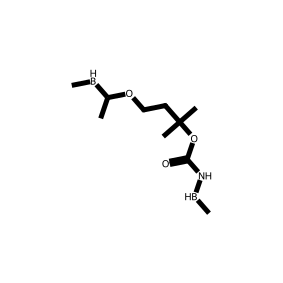 CBNC(=O)OC(C)(C)CCOC(C)BC